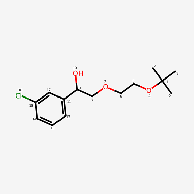 CC(C)(C)OCCOCC(O)c1cccc(Cl)c1